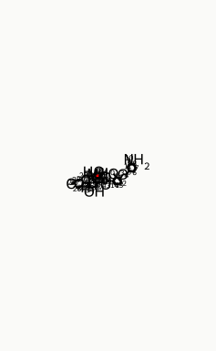 COc1c(OCc2cccc(N)c2)cccc1[C@@H]1O[C@@H]2C[C@H]3[C@@H]4CCC5=CC(=O)C=C[C@]5(C)[C@H]4[C@@H](O)C[C@]3(C)[C@]2(C(=O)CO)O1